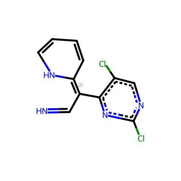 N=C/C(=C1/C=CC=CN1)c1nc(Cl)ncc1Cl